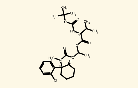 CC(OC(=O)[C@@H](NC(=O)OC(C)(C)C)C(C)C)OC(=O)N(C)[C@]1(c2ccccc2Cl)CCCCC1=O